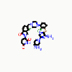 CC1(N)CCN(c2cnc(Sc3cccc(N4CCN(Cc5ccc6c(c5F)CN(C5CCC(=O)NC5=O)C6=O)CC4)c3Cl)c(N)n2)CC1